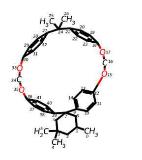 CC1CC(C)(C)CC2(C1)c1ccc(cc1)OCOc1ccc(cc1)C(C)(C)c1ccc(cc1)OCOc1ccc2cc1